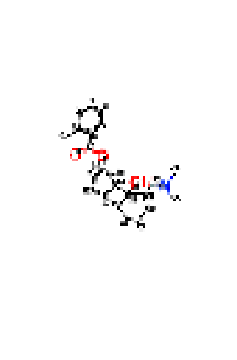 Cc1ccccc1C(=O)Oc1cccc(C2(O)CCCCC2CN(C)C)c1